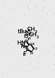 CC(C)(C)[Si](C)(C)OCc1[nH]nc2c(F)cccc12